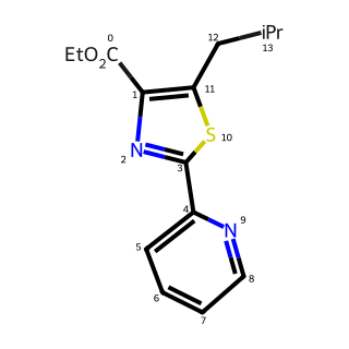 CCOC(=O)c1nc(-c2ccccn2)sc1CC(C)C